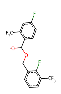 [O]C(OCc1cccc(C(F)(F)F)c1F)c1ccc(F)cc1C(F)(F)F